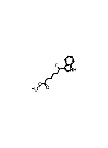 COC(=O)CCCCC(F)c1c[nH]c2ccccc12